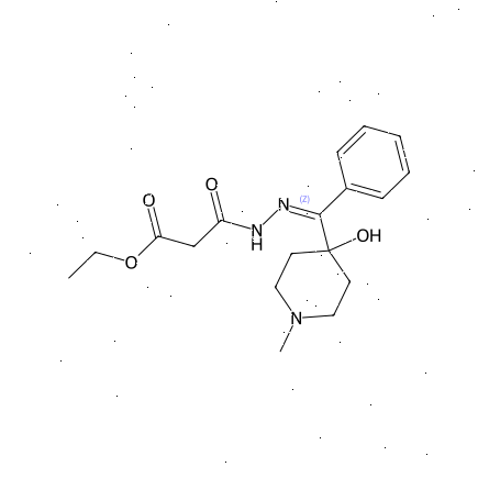 CCOC(=O)CC(=O)N/N=C(/c1ccccc1)C1(O)CCN(C)CC1